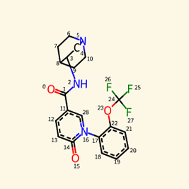 O=C(NC1CN2CCC1CC2)c1ccc(=O)n(-c2ccccc2OC(F)(F)F)c1